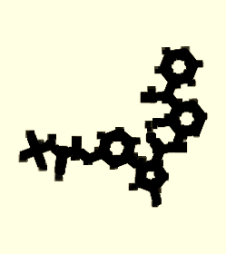 Cc1cc(C(=O)Nc2cccc(C(O)c3ccccc3)c2F)n(-c2cccc(CNC(=O)OC(C)(C)C)c2)n1